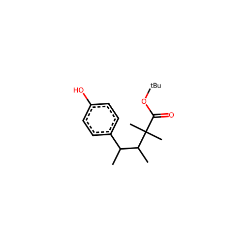 CC(c1ccc(O)cc1)C(C)C(C)(C)C(=O)OC(C)(C)C